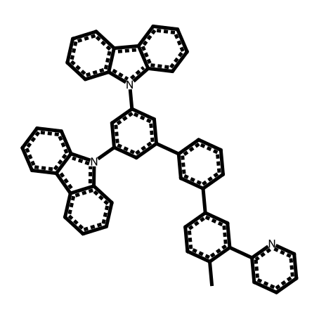 Cc1ccc(-c2cccc(-c3cc(-n4c5ccccc5c5ccccc54)cc(-n4c5ccccc5c5ccccc54)c3)c2)cc1-c1ccccn1